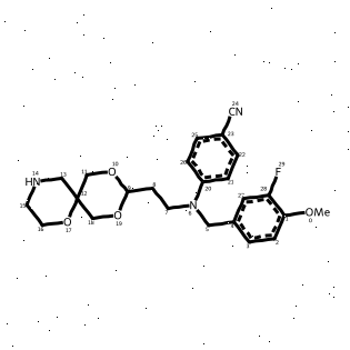 COc1ccc(CN(CCC2OCC3(CNCCO3)CO2)c2ccc(C#N)cc2)cc1F